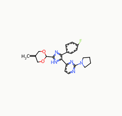 C=C1COC(c2nc(-c3ccc(F)cc3)c(-c3ccnc(N4CCCC4)n3)[nH]2)OC1